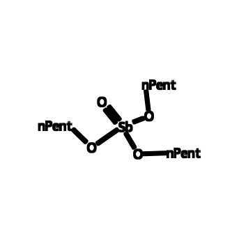 CCCCC[O][Sb](=[O])([O]CCCCC)[O]CCCCC